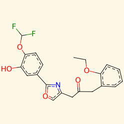 CCOc1ccccc1CC(=O)Cc1coc(-c2ccc(OC(F)F)c(O)c2)n1